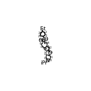 CCc1ccc(S(=O)(=O)N2CCc3sc(OC4CCN(C(C)C)CC4)cc3C2)cc1